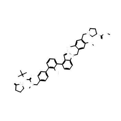 COC(=O)[C@@H]1CCN(Cc2cc(Cl)c(Cn3ncc4c(-c5cccc(-c6ccc(CN(C[C@@H]7CCC(=O)N7)C(=O)OC(C)(C)C)cc6)c5Cl)cccc43)cc2OC)C1